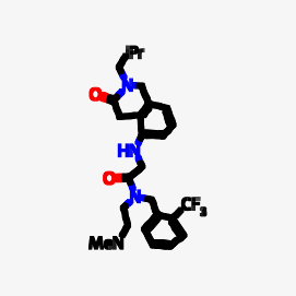 CNCCN(Cc1ccccc1C(F)(F)F)C(=O)CNc1cccc2c1CC(=O)N(CC(C)C)C2